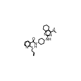 C=CCSc1ncccc1C(=O)N[C@H]1CC[C@@H](Nc2nc3c(c(N(C)C)n2)CCCC3)CC1